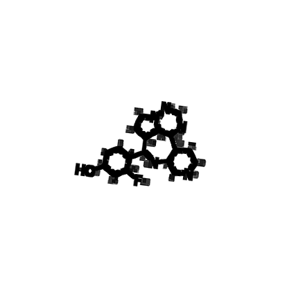 Oc1ccc(C2=Nc3cnccc3-c3ncnn4ccc2c34)c(F)c1